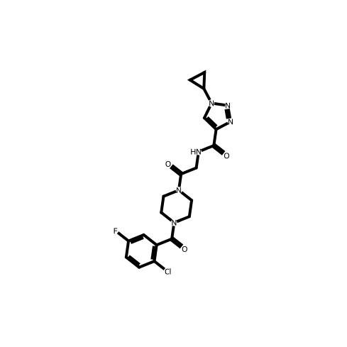 O=C(NCC(=O)N1CCN(C(=O)c2cc(F)ccc2Cl)CC1)c1cn(C2CC2)nn1